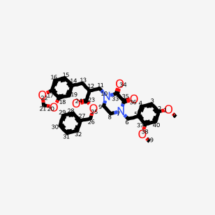 COc1ccc(CN2CCN(CC(Cc3ccc4c(c3)OCO4)C(=O)OCc3ccccc3)C(=O)C2=O)c(OC)c1